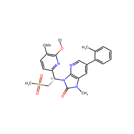 CCOc1nc([C@@H](CS(C)(=O)=O)n2c(=O)n(C)c3cc(-c4ccccc4C)cnc32)ccc1OC